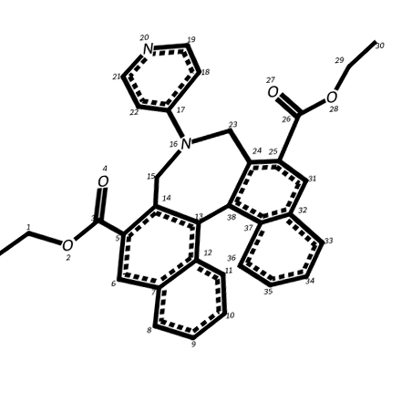 CCOC(=O)c1cc2ccccc2c2c1CN(c1ccncc1)Cc1c(C(=O)OCC)cc3ccccc3c1-2